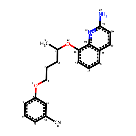 CC(CCCOc1cccc(C#N)c1)Oc1cccc2ccc(N)nc12